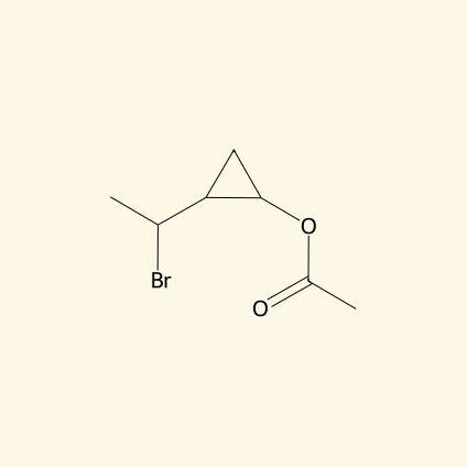 CC(=O)OC1CC1C(C)Br